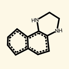 c1ccc2c3c(ccc2c1)NCCN3